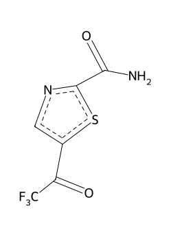 NC(=O)c1ncc(C(=O)C(F)(F)F)s1